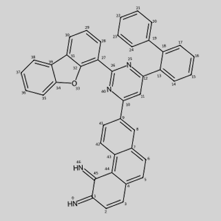 N=C1C=Cc2ccc3cc(-c4cc(-c5ccccc5-c5ccccc5)nc(-c5cccc6c5oc5ccccc56)n4)ccc3c2C1=N